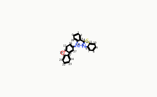 c1ccc(-c2nc3ccccc3s2)c(Nc2ccc3oc4ccccc4c3c2)c1